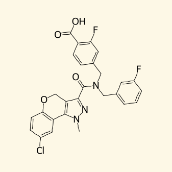 Cn1nc(C(=O)N(Cc2cccc(F)c2)Cc2ccc(C(=O)O)c(F)c2)c2c1-c1cc(Cl)ccc1OC2